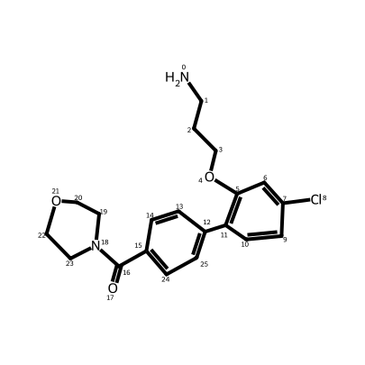 NCCCOc1cc(Cl)ccc1-c1ccc(C(=O)N2CCOCC2)cc1